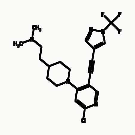 CN(C)CCC1CCN(c2cc(Cl)ncc2C#Cc2cnn(C(F)(F)F)c2)CC1